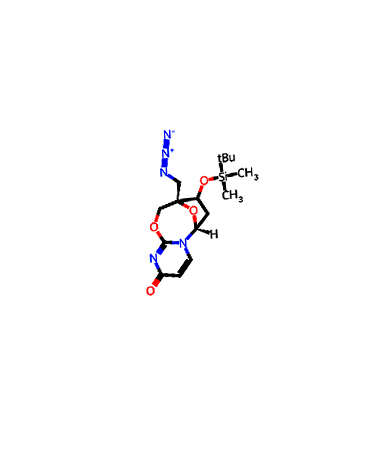 CC(C)(C)[Si](C)(C)OC1C[C@H]2O[C@]1(CN=[N+]=[N-])COc1nc(=O)ccn12